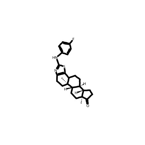 C[C@]12CCc3nc(Nc4ccc(F)cc4)sc3C1CC[C@@H]1[C@@H]2CC[C@]2(C)C(=O)CC[C@@H]12